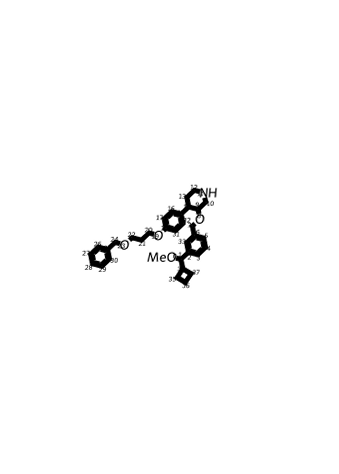 COC(c1cccc(COC2CNCCC2c2ccc(OCCCOCc3ccccc3)cc2)c1)C1CCC1